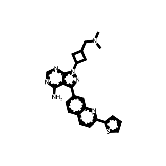 CN(C)CC1CC(n2nc(-c3ccc4ccc(-c5cccs5)nc4c3)c3c(N)ncnc32)C1